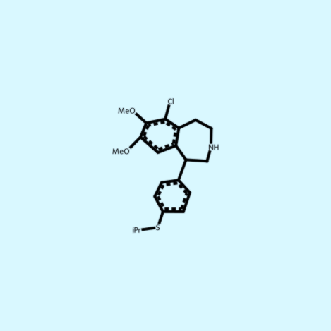 COc1cc2c(c(Cl)c1OC)CCNCC2c1ccc(SC(C)C)cc1